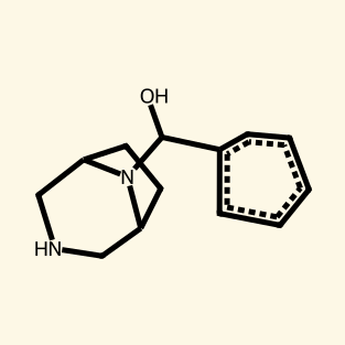 OC(c1ccccc1)N1C2CCC1CNC2